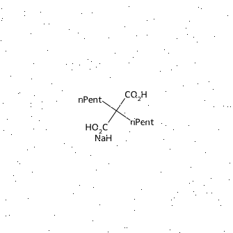 CCCCCC(CCCCC)(C(=O)O)C(=O)O.[NaH]